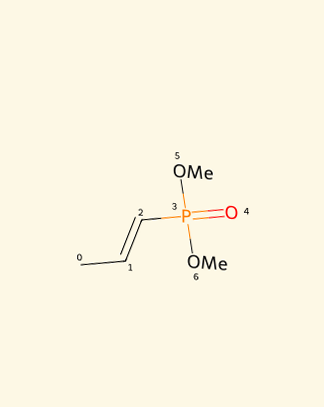 CC=CP(=O)(OC)OC